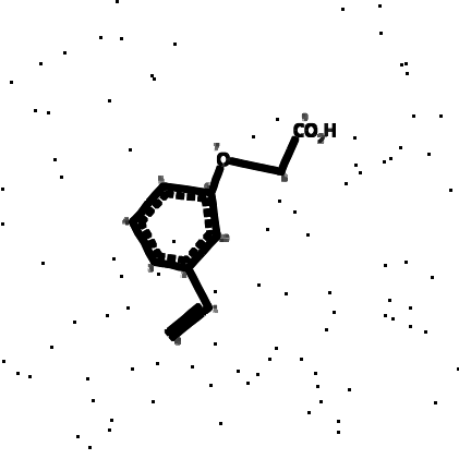 C=Cc1cccc(OCC(=O)O)c1